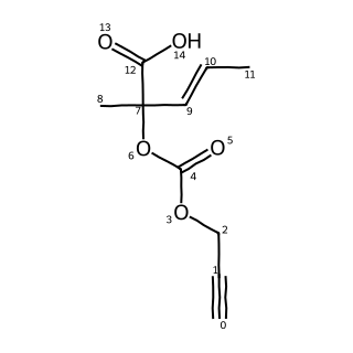 C#CCOC(=O)OC(C)(C=CC)C(=O)O